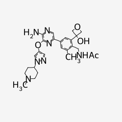 CC(=O)NCc1c(C)cc(-c2cnc(N)c(Oc3cnn(C4CCN(C)CC4)c3)n2)cc1C1(O)COC1